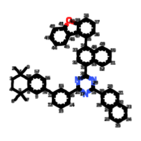 CC1(C)CCC(C)(C)c2cc(-c3cccc(-c4nc(-c5ccc6ccccc6c5)nc(-c5ccc(-c6cccc7oc8ccccc8c67)c6ccccc56)n4)c3)ccc21